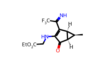 CCOC(=O)CNC1=C(C(=N)C(F)(F)F)[C@H]2[C@@H](C)[C@H]2C1=O